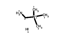 C[N+](C)(C)CN.I